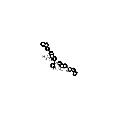 CC1(C)c2cc(-c3ccc4c(ccc5ccccc54)c3)ccc2-c2ccc(N(c3ccccc3)c3ccc4c(c3)C(C)(C)c3cc(-c5ccc6c(ccc7ccccc76)c5)ccc3-4)cc21